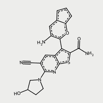 N#Cc1cc2c(-c3oc4cccc-4cc3N)c(C(N)=O)sc2nc1N1CCC(O)C1